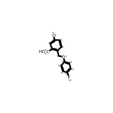 O=C(O)c1cc(Cl)ccc1COc1ccc(F)cc1